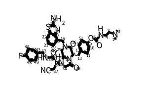 CN(C)CCNC(=O)Oc1ccc(C[C@H]2C(=O)N(Cc3cccc4sc(N)nc34)C[C@H]3N2C(=O)CN3N(CC#N)C(=O)NCc2ccc(F)cc2)cc1